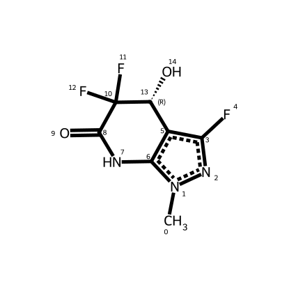 Cn1nc(F)c2c1NC(=O)C(F)(F)[C@@H]2O